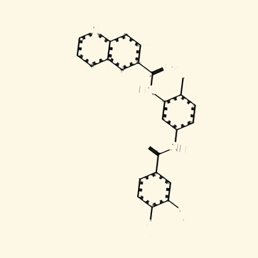 Cc1ccc(NC(=O)c2ccc(Cl)c(Cl)c2)cc1NC(=O)c1ccc2ncccc2c1